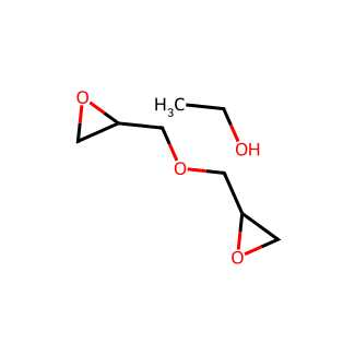 C(OCC1CO1)C1CO1.CCO